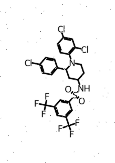 O=S(=O)(NC1CCN(c2ccc(Cl)cc2Cl)C(c2ccc(Cl)cc2)C1)c1cc(C(F)(F)F)cc(C(F)(F)F)c1